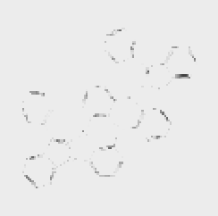 c1ccc(-c2c3ccccc3n3c4cccc5c4n(c23)-c2cccc3c2B5c2cccc4c2n-3c2c(-c3ccccc3)c3ccccc3n42)cc1